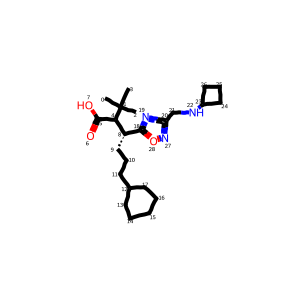 CC(C)(C)C(C(=O)O)[C@@H](CCCC1CCCCC1)c1nc(CNC2CCC2)no1